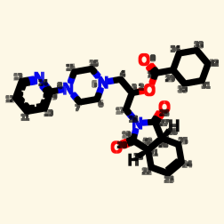 O=C(OC(CN1CCN(c2ccccn2)CC1)CN1C(=O)[C@H]2CC=CC[C@H]2C1=O)C1CCCCC1